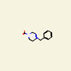 O=C(O)N1CC2CCC1CN2Cc1ccccc1